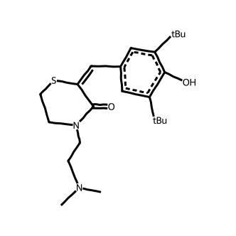 CN(C)CCN1CCSC(=Cc2cc(C(C)(C)C)c(O)c(C(C)(C)C)c2)C1=O